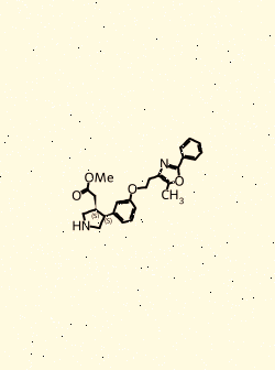 COC(=O)C[C@@H]1CNC[C@@H]1c1cccc(OCCc2nc(-c3ccccc3)oc2C)c1